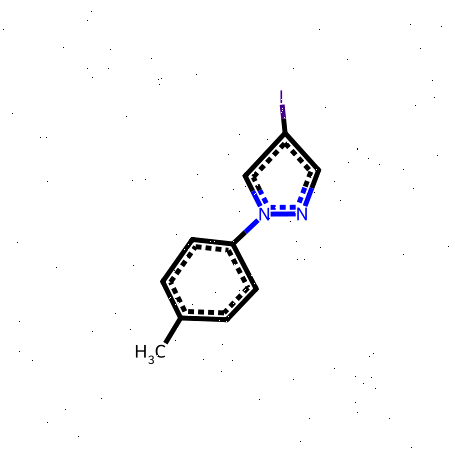 Cc1ccc(-n2cc(I)cn2)cc1